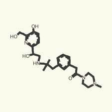 CN1CCN(C(=O)Cc2cccc(CC(C)(C)NCC(O)c3ccc(O)c(CO)n3)c2)CC1